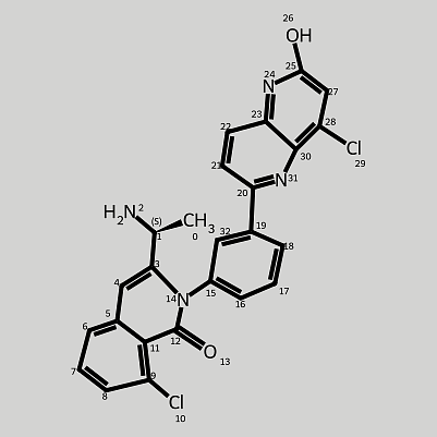 C[C@H](N)c1cc2cccc(Cl)c2c(=O)n1-c1cccc(-c2ccc3nc(O)cc(Cl)c3n2)c1